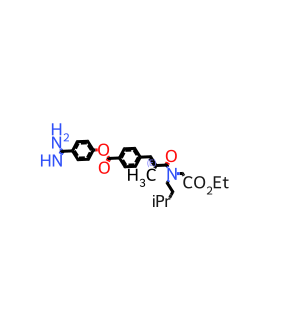 CCOC(=O)CN(CCC(C)C)C(=O)/C(C)=C/c1ccc(C(=O)Oc2ccc(C(=N)N)cc2)cc1